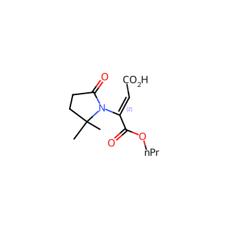 CCCOC(=O)/C(=C/C(=O)O)N1C(=O)CCC1(C)C